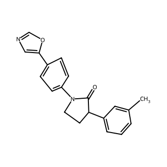 Cc1cccc(C2CCN(c3ccc(-c4cnco4)cc3)C2=O)c1